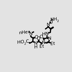 C=C(CNc1nc(CC)cn(C(CC)C(=O)NC(CC(=O)O)C(=O)CN(C)CCCCCC)c1=O)/C(C)=N\ON